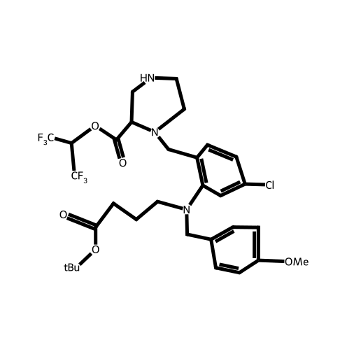 COc1ccc(CN(CCCC(=O)OC(C)(C)C)c2cc(Cl)ccc2CN2CCNCC2C(=O)OC(C(F)(F)F)C(F)(F)F)cc1